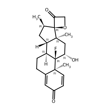 C[C@@H]1C[C@H]2[C@@H]3CCC4=CC(=O)C=C[C@]4(C)[C@@]3(F)[C@@H](O)C[C@]2(C)[C@]12OCC2=O